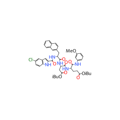 COc1cccc(NC(=O)C(CCC(=O)OCC(C)C)NC(=O)C(CC(=O)OCC(C)C)NC(=O)C(Cc2ccc3ccccc3c2)NC(=O)c2cc3cc(Cl)ccc3[nH]2)c1